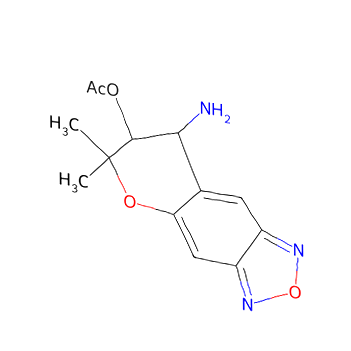 CC(=O)OC1C(N)c2cc3nonc3cc2OC1(C)C